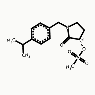 CC(C)c1ccc(CN2CC[C@H](OS(C)(=O)=O)C2=O)cc1